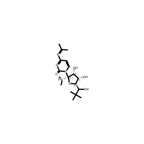 CC(C)=Nc1ccn([C@]2([SiH](C)C)O[C@H](C(O)C(C)(C)C)[C@@H](O)[C@H]2O)c(=O)n1